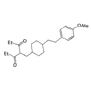 CCC(=O)C(CC1CCC(CCc2ccc(OC)cc2)CC1)C(=O)CC